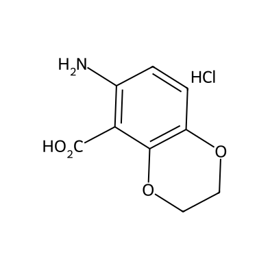 Cl.Nc1ccc2c(c1C(=O)O)OCCO2